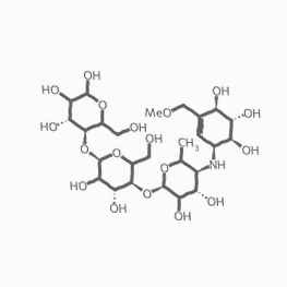 COCC1=C[C@H](N[C@@H]2C(C)O[C@H](O[C@@H]3C(CO)O[C@H](O[C@@H]4C(CO)OC(O)C(O)[C@H]4O)C(O)[C@H]3O)C(O)[C@H]2O)[C@H](O)[C@@H](O)[C@@H]1O